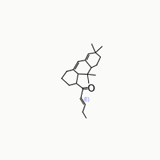 CC/C=C/C(=O)C1CCCC2=CC3=CC(C)(C)CCC3C(C)(C)C21